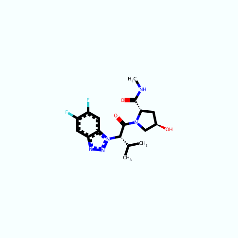 CNC(=O)[C@@H]1C[C@@H](O)CN1C(=O)[C@H](C(C)C)n1nnc2cc(F)c(F)cc21